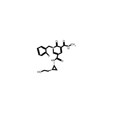 CNC(=O)c1cc(C(=O)N[C@@H]2C[C@H]2CCO)cn(Cc2ccccc2F)c1=O